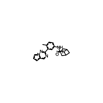 Cc1ccc(NC(=O)N2C3CC(C)CC2C3)cc1-c1ncc2cccn2n1